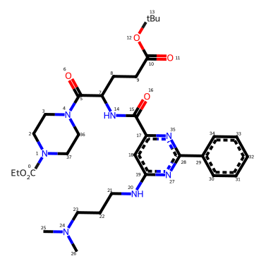 CCOC(=O)N1CCN(C(=O)C(CCC(=O)OC(C)(C)C)NC(=O)c2cc(NCCCN(C)C)nc(-c3ccccc3)n2)CC1